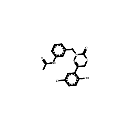 CC(=O)Nc1cccc(CN2N=C(c3cc(Cl)ccc3O)CSC2=O)c1